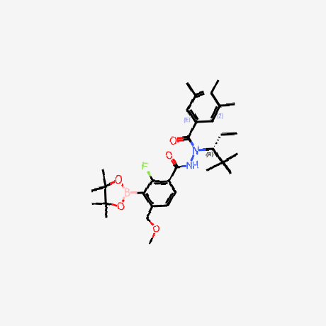 C=C(C)/C=C(\C=C(\C)CC)C(=O)N(NC(=O)c1ccc(COC)c(B2OC(C)(C)C(C)(C)O2)c1F)[C@H](CC)C(C)(C)C